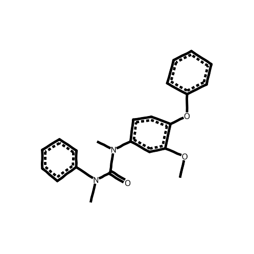 COc1cc(N(C)C(=O)N(C)c2ccccc2)ccc1Oc1ccccc1